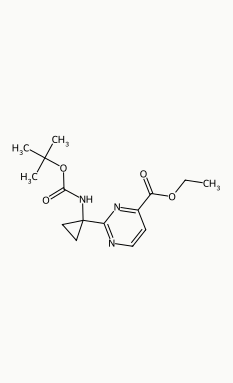 CCOC(=O)c1ccnc(C2(NC(=O)OC(C)(C)C)CC2)n1